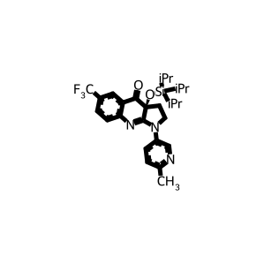 Cc1ccc(N2CC[C@@]3(O[Si](C(C)C)(C(C)C)C(C)C)C(=O)c4cc(C(F)(F)F)ccc4N=C23)cn1